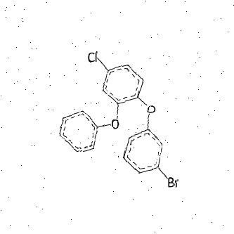 Clc1ccc(Oc2cccc(Br)c2)c(Oc2ccccc2)c1